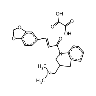 CN(C)CC1Cc2ccccc2N(C(=O)/C=C/c2ccc3c(c2)OCO3)C1.O=C(O)C(=O)O